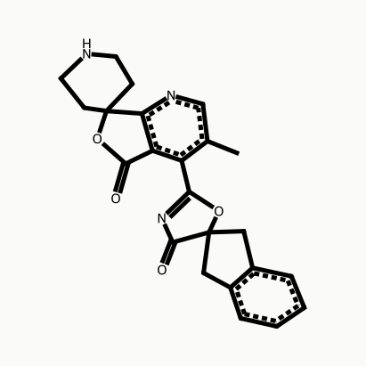 Cc1cnc2c(c1C1=NC(=O)C3(Cc4ccccc4C3)O1)C(=O)OC21CCNCC1